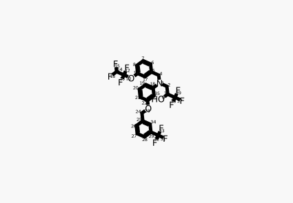 OC(CN(Cc1cccc(OC(F)(F)C(F)F)c1)c1cccc(OCc2cccc(C(F)(F)F)c2)c1)C(F)(F)F